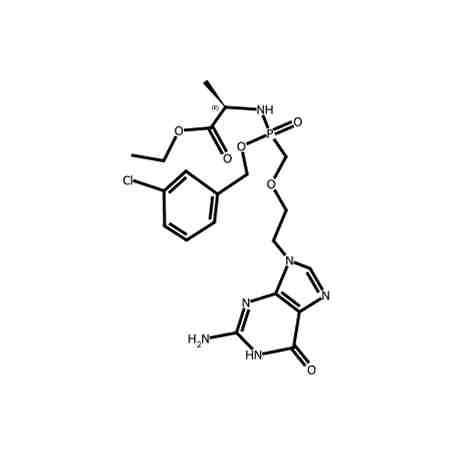 CCOC(=O)[C@@H](C)NP(=O)(COCCn1cnc2c(=O)[nH]c(N)nc21)OCc1cccc(Cl)c1